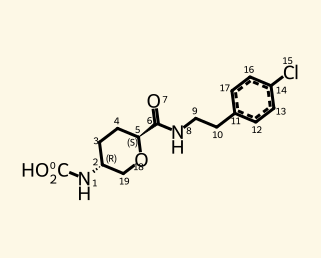 O=C(O)N[C@@H]1CC[C@@H](C(=O)NCCc2ccc(Cl)cc2)OC1